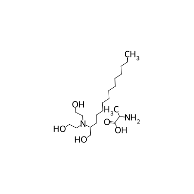 CC(N)C(=O)O.CCCCCCCCCCCCC(CO)N(CCO)CCO